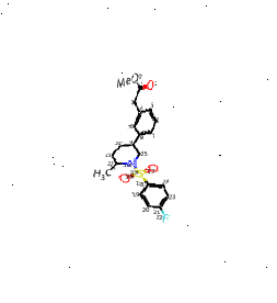 COC(=O)Cc1cccc(C2CCC(C)N(S(=O)(=O)c3ccc(F)cc3)C2)c1